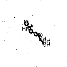 Cc1cc(-c2[nH]c3ccc(C4CCN(C(=O)CNC[C@@H](O)CO)CC4)cc3c2C(C)C)ccn1